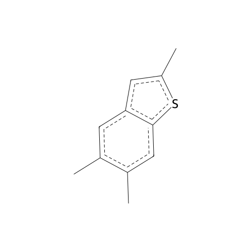 Cc1cc2cc(C)c(C)cc2s1